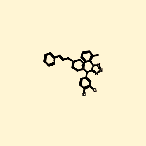 Cc1cccc(C)c1-n1nnnc1C(c1ccc(Cl)c(Cl)c1)N1CCN(CC=Cc2ccccc2)CC1